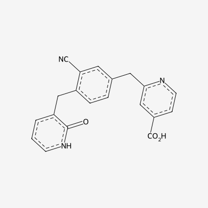 N#Cc1cc(Cc2cc(C(=O)O)ccn2)ccc1Cc1ccc[nH]c1=O